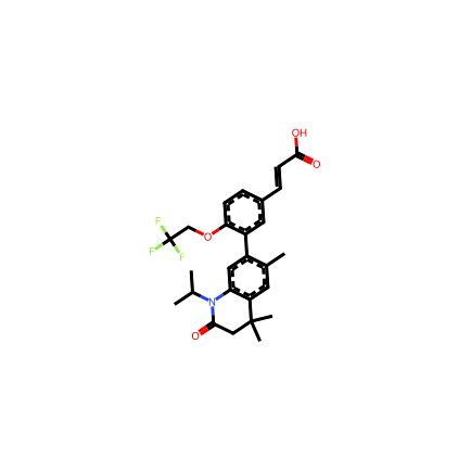 Cc1cc2c(cc1-c1cc(/C=C/C(=O)O)ccc1OCC(F)(F)F)N(C(C)C)C(=O)CC2(C)C